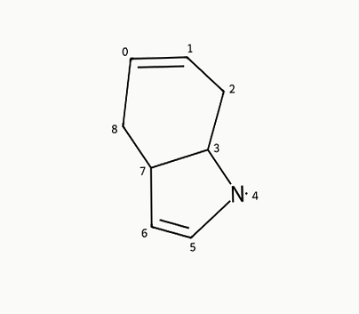 C1=CCC2[N]C=CC2C1